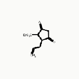 C=CCC1C(=O)CC(=O)C1C(=O)OCC